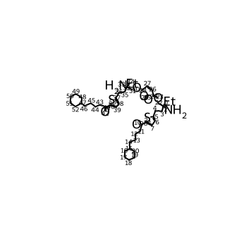 CCC(N)(CCc1ccc(C(=O)CCCCC2CCCCC2)s1)COC(=O)/C=C\C(=O)OCC(N)(CC)CCc1ccc(C(=O)CCCCC2CCCCC2)s1